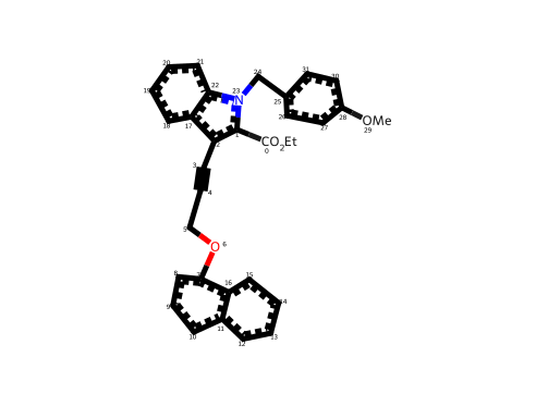 CCOC(=O)c1c(C#CCOc2cccc3ccccc23)c2ccccc2n1Cc1ccc(OC)cc1